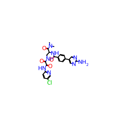 CN(C)C(=O)C(CNC(=O)C(=O)Nc1ccc(Cl)cn1)NC(=O)c1ccc(-c2cnc(N)nc2)cc1